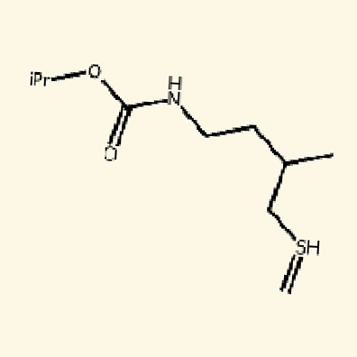 C=[SH]CC(C)CCNC(=O)OC(C)C